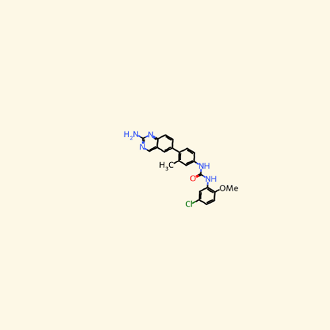 COc1ccc(Cl)cc1NC(=O)Nc1ccc(-c2ccc3nc(N)ncc3c2)c(C)c1